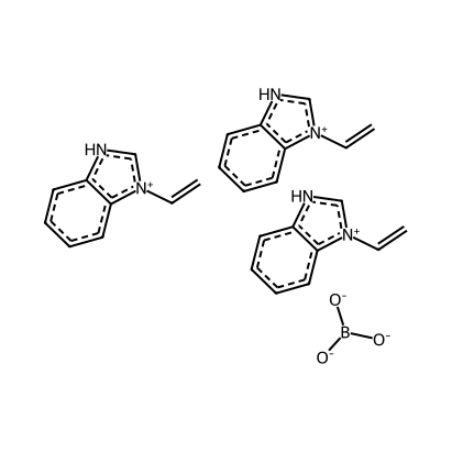 C=C[n+]1c[nH]c2ccccc21.C=C[n+]1c[nH]c2ccccc21.C=C[n+]1c[nH]c2ccccc21.[O-]B([O-])[O-]